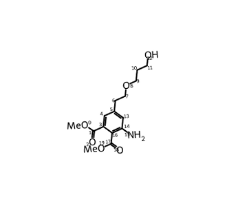 COC(=O)c1cc(CCOCCCO)cc(N)c1C(=O)OC